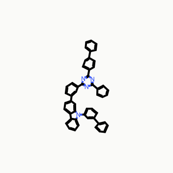 c1ccc(-c2ccc(-c3nc(-c4ccccc4)nc(-c4cccc(-c5ccc6c7ccccc7n(-c7cccc(-c8ccccc8)c7)c6c5)c4)n3)cc2)cc1